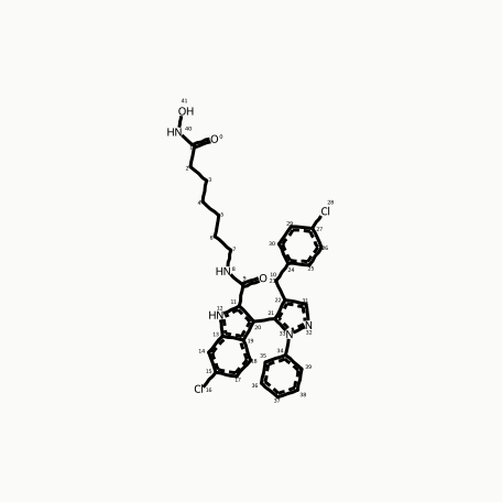 O=C(CCCCCCNC(=O)c1[nH]c2cc(Cl)ccc2c1-c1c(Cc2ccc(Cl)cc2)cnn1-c1ccccc1)NO